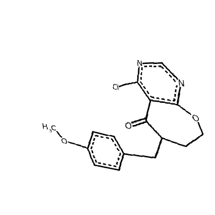 COc1ccc(CC2CCOc3ncnc(Cl)c3C2=O)cc1